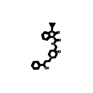 Cl.O=C(NCC1CCN(CCC(O)c2ccccc2)CC1)n1c(=O)n(C2CC2)c2ccccc21